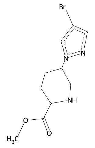 COC(=O)C1CCC(n2cc(Br)cn2)CN1